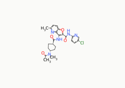 CC(=O)N(C)[C@H]1CC[C@H](C(=O)Nc2c(C(=O)Nc3ccc(Cl)cn3)oc3ccc(C)nc23)CC1